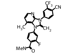 C=C1N(c2ccc(C#N)c(C(F)(F)F)c2)c2nccc(C)c2N1c1ccc(C(=O)NC)c(F)c1